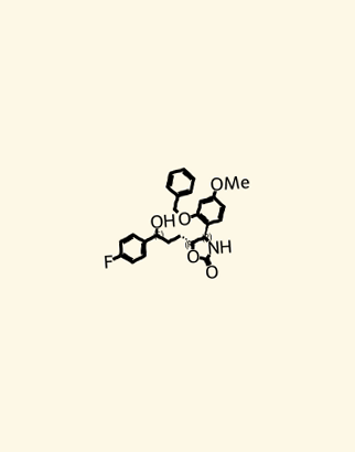 COc1ccc([C@H]2NC(=O)O[C@@H]2CC[C@H](O)c2ccc(F)cc2)c(OCc2ccccc2)c1